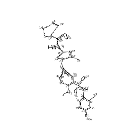 COc1ccc(-c2sc(NC(=O)C3CCCC3)nc2C)cc1S(=O)(=O)Nc1cnc(F)cc1C